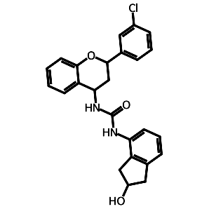 O=C(Nc1cccc2c1CC(O)C2)NC1CC(c2cccc(Cl)c2)Oc2ccccc21